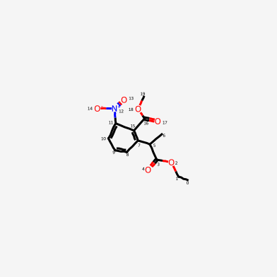 CCOC(=O)C(C)c1cccc([N+](=O)[O-])c1C(=O)OC